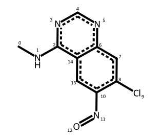 CNc1ncnc2cc(Cl)c(N=O)cc12